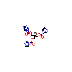 CCC(COC(=O)n1ccnc1)(COC(=O)n1ccnc1)COC(=O)n1ccnc1